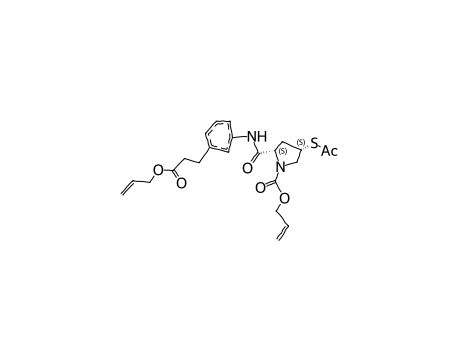 C=CCOC(=O)CCc1cccc(NC(=O)[C@@H]2C[C@H](SC(C)=O)CN2C(=O)OCC=C)c1